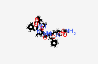 CC(C)C[C@H](NC(=O)[C@H](Cc1ccccc1)N1C(=O)[C@@H](NC(=O)[C@H](CCc2ccccc2)NC(=O)Cc2cc(OC(N)=O)on2)CC1C)C(=O)C1(C)CO1